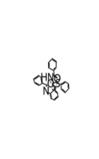 O=C(NOC(=Nc1ccccc1SSc1ccccc1)c1ccccc1)c1ccccc1